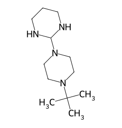 CC(C)(C)N1CCN(C2NCCCN2)CC1